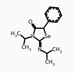 CC(C)N=C1[Se]C(c2ccccc2)C(=O)N1C(C)C